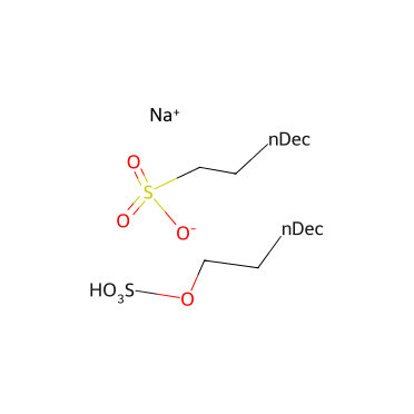 CCCCCCCCCCCCOS(=O)(=O)O.CCCCCCCCCCCCS(=O)(=O)[O-].[Na+]